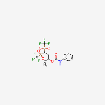 CC(CC(S(=O)(=O)C(F)(F)F)S(=O)(=O)C(F)(F)F)OC(=O)NC1CC2C=CC1C2